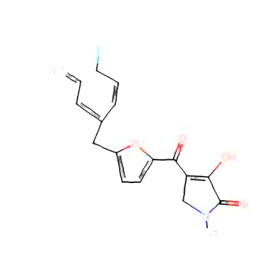 C=C/C=C(\C=C/CF)Cc1ccc(C(=O)C2=C(O)C(=O)N(C(C)C)C2)o1